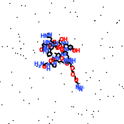 CC(C)CC(NC(=O)C(CCCCNC(=O)CCOCCOCCOCCN=[N+]=[N-])NC(=O)C(Cc1ccc(O)cc1)NC(=O)C(CO)NC(=O)C(Cc1c[nH]c2ccccc12)NC(=O)C(Cc1c[nH]cn1)NC(=O)C1CCC(=O)N1)C(=O)NC(CCCNN)C(=O)N1CCCC1C(=O)NCC(N)=O